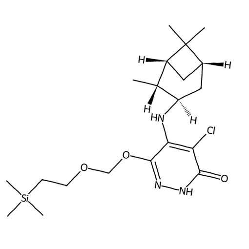 C[C@@H]1[C@H]2C[C@@H](C[C@H]1Nc1c(OCOCC[Si](C)(C)C)n[nH]c(=O)c1Cl)C2(C)C